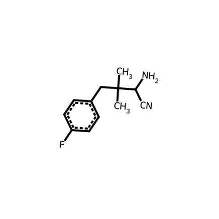 CC(C)(Cc1ccc(F)cc1)C(N)C#N